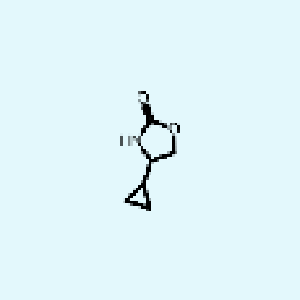 O=C1NC(C2CC2)CO1